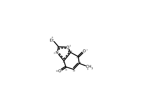 CCc1nc2c(o1)C(=O)C(C)=CC2=O